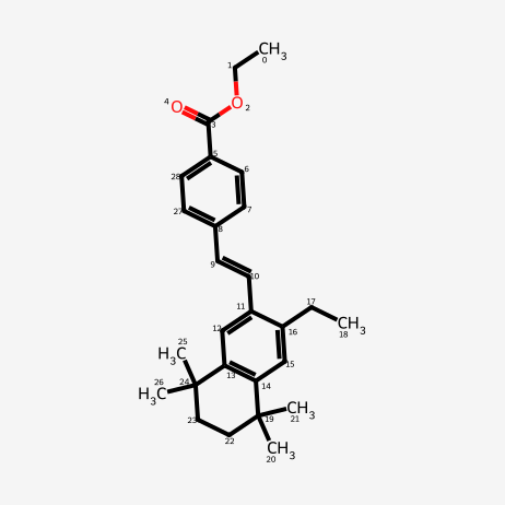 CCOC(=O)c1ccc(C=Cc2cc3c(cc2CC)C(C)(C)CCC3(C)C)cc1